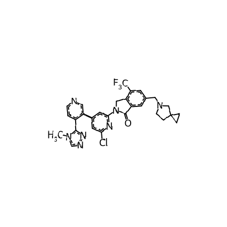 Cn1cnnc1-c1ccncc1-c1cc(Cl)nc(N2Cc3c(cc(CN4CCC5(CC5)C4)cc3C(F)(F)F)C2=O)c1